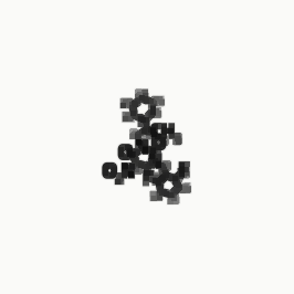 C[C@@H](Cn1c(=O)c([N+](=O)[O-])cn(Cc2c(F)cccc2F)c1=O)c1ccccc1